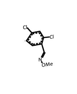 CON=Cc1c[c]c(Cl)cc1Cl